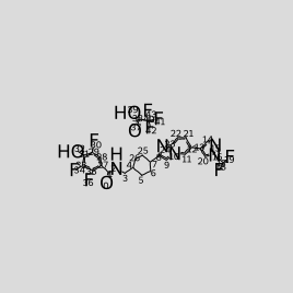 O=C(NCC1CCC(c2cn3cc(-c4cnn(C(F)F)c4)ccc3n2)CC1)c1cc(F)c(O)c(F)c1F.O=C(O)C(F)(F)F